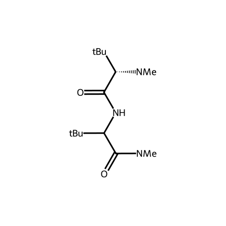 CNC(=O)C(NC(=O)[C@@H](NC)C(C)(C)C)C(C)(C)C